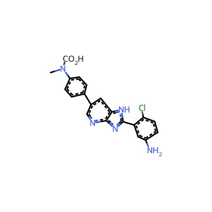 CN(C(=O)O)c1ccc(-c2cnc3nc(-c4cc(N)ccc4Cl)[nH]c3c2)cc1